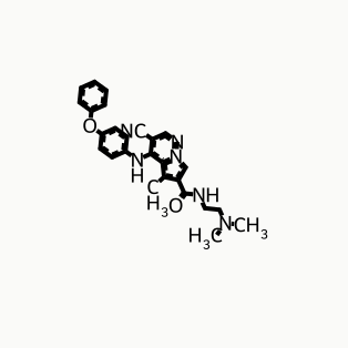 Cc1c(C(=O)NCCN(C)C)cn2ncc(C#N)c(Nc3ccc(Oc4ccccc4)cc3)c12